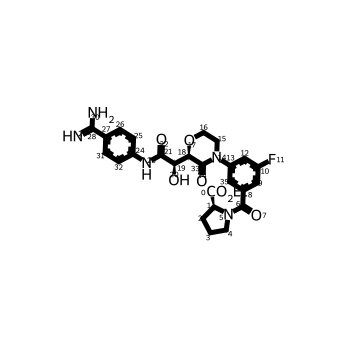 CCOC(=O)[C@@H]1CCCN1C(=O)c1cc(F)cc(N2CCO[C@H]([C@@H](O)C(=O)Nc3ccc(C(=N)N)cc3)C2=O)c1